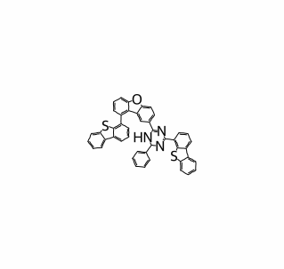 c1ccc(C2N=C(c3cccc4c3sc3ccccc34)N=C(c3ccc4oc5cccc(-c6cccc7c6sc6ccccc67)c5c4c3)N2)cc1